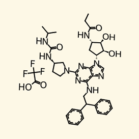 CCC(=O)N[C@H]1C[C@@H](n2cnc3c(NCC(c4ccccc4)c4ccccc4)nc(N4CC[C@@H](NC(=O)NC(C)C)C4)nc32)[C@H](O)[C@@H]1O.O=C(O)C(F)(F)F